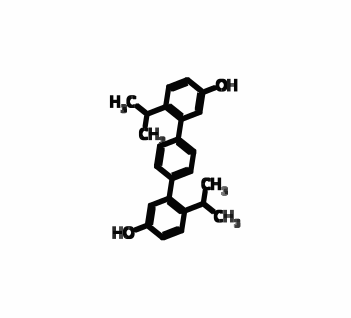 CC(C)c1ccc(O)cc1-c1ccc(-c2cc(O)ccc2C(C)C)cc1